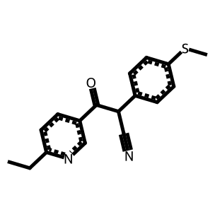 CCc1ccc(C(=O)C(C#N)c2ccc(SC)cc2)cn1